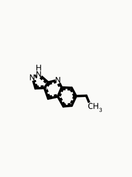 CCc1ccc2cc3cn[nH]c3nc2c1